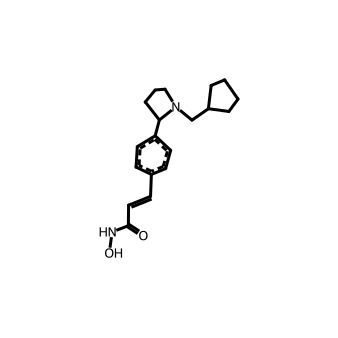 O=C(C=Cc1ccc(C2CCCN2CC2CCCC2)cc1)NO